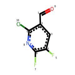 O=Cc1cc(F)c(F)nc1Cl